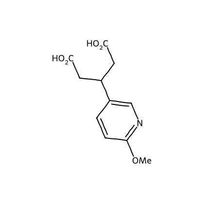 COc1ccc(C(CC(=O)O)CC(=O)O)cn1